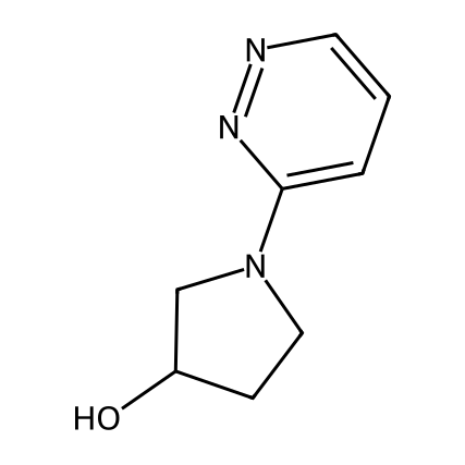 OC1CCN(c2cccnn2)C1